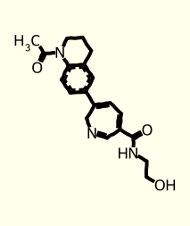 CC(=O)N1CCCc2cc(C3=CC=C(C(=O)NCCO)C=NC3)ccc21